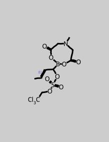 C/C=C/C(OS(=O)(=O)OCC(Cl)(Cl)Cl)B1OC(=O)CN(C)CC(=O)O1